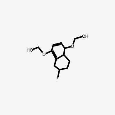 OCOC1=C2CC(F)CCC2C(OCO)C=C1